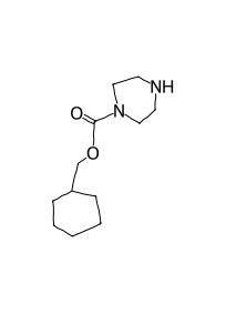 O=C(OCC1CCCCC1)N1CCNCC1